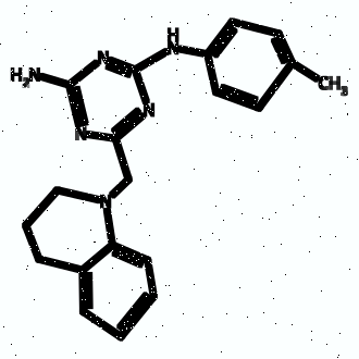 Cc1ccc(Nc2nc(N)nc(CN3CCCc4ccccc43)n2)cc1